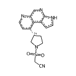 N#CCS(=O)(=O)N1CC[C@@H](c2ccnc3cnc4[nH]ccc4c23)C1